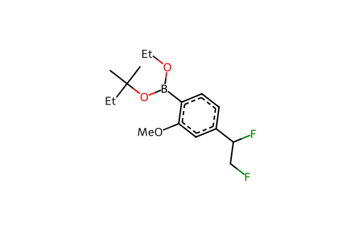 CCOB(OC(C)(C)CC)c1ccc(C(F)CF)cc1OC